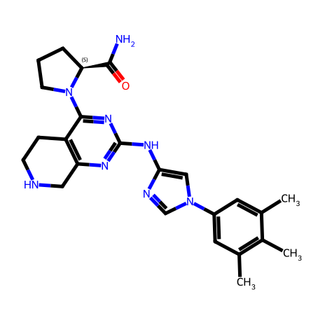 Cc1cc(-n2cnc(Nc3nc4c(c(N5CCC[C@H]5C(N)=O)n3)CCNC4)c2)cc(C)c1C